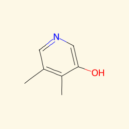 Cc1cncc(O)c1C